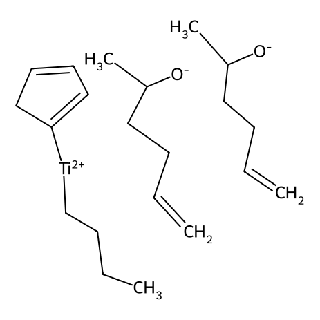 C=CCCC(C)[O-].C=CCCC(C)[O-].CCC[CH2][Ti+2][C]1=CC=CC1